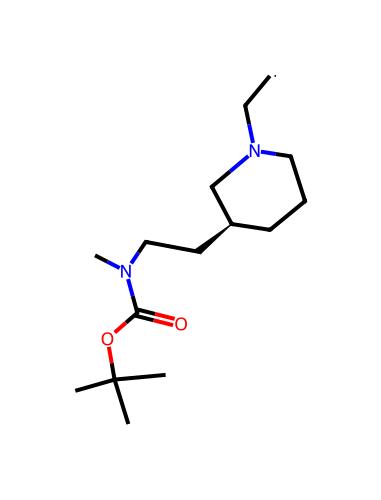 [CH2]CN1CCC[C@@H](CCN(C)C(=O)OC(C)(C)C)C1